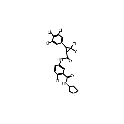 O=C(NC1CCSC1)c1cc(NC(=O)C2C(c3cc(Cl)c(Cl)c(Cl)c3)C2(Cl)Cl)ccc1Cl